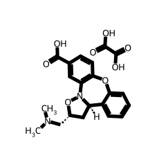 CN(C)C[C@H]1C[C@@H]2c3ccccc3Oc3ccc(C(=O)O)cc3N2O1.O=C(O)C(=O)O